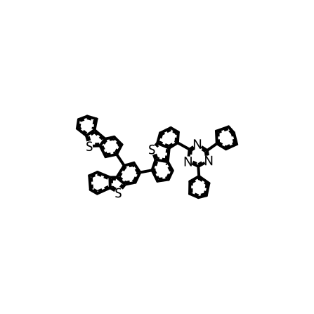 c1ccc(-c2nc(-c3ccccc3)nc(-c3cccc4sc5c(-c6cc(-c7ccc8c(c7)sc7ccccc78)c7c(c6)sc6ccccc67)cccc5c34)n2)cc1